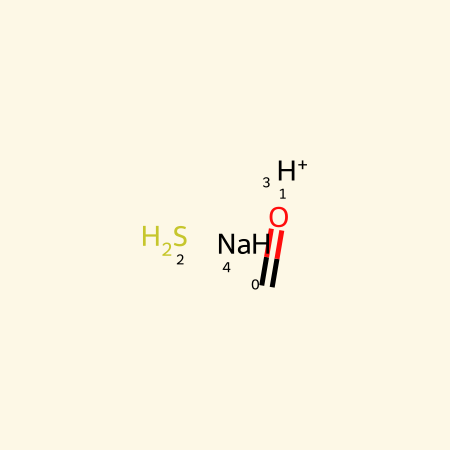 C=O.S.[H+].[NaH]